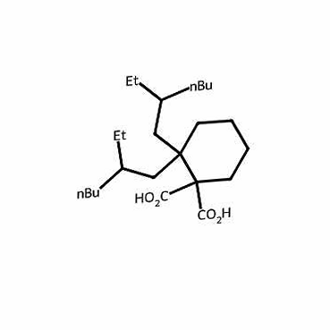 CCCCC(CC)CC1(CC(CC)CCCC)CCCCC1(C(=O)O)C(=O)O